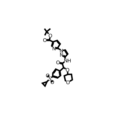 CC(C)(C)OC(=O)c1ccc(-n2ccc(NC(=O)C(OC3CCOCC3)c3ccc(S(=O)(=O)C4CC4)cc3)n2)nc1